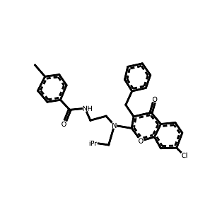 Cc1ccc(C(=O)NCCN(CC(C)C)c2oc3cc(Cl)ccc3c(=O)c2Cc2ccccc2)cc1